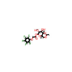 CC1OC[C@H]2OC(OC(=O)COc3c(F)c(F)c(F)c(F)c3F)[C@H](O)[C@@H](O)[C@@H]2O1